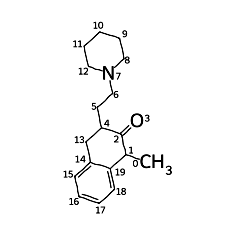 CC1C(=O)C(CCN2CCCCC2)Cc2ccccc21